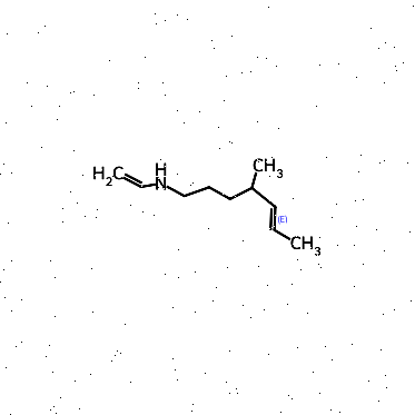 C=CNCCCC(C)/C=C/C